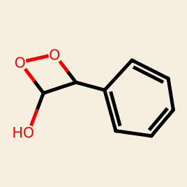 OC1OOC1c1ccccc1